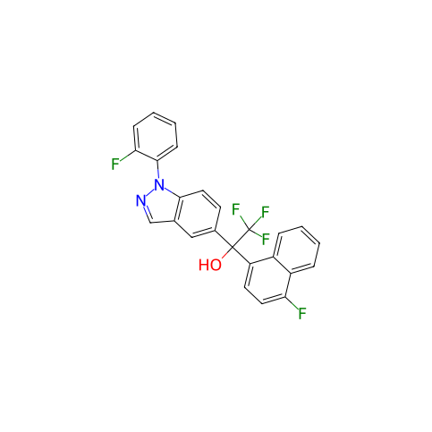 OC(c1ccc2c(cnn2-c2ccccc2F)c1)(c1ccc(F)c2ccccc12)C(F)(F)F